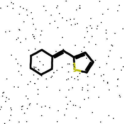 [C](=C1CCCCC1)c1cccs1